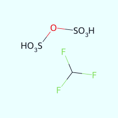 FC(F)F.O=S(=O)(O)OS(=O)(=O)O